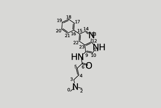 CN(C)C/C=C/C(=O)Nc1c[nH]c2ncc(-c3ccccc3)cc12